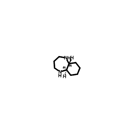 C1CN[C@@H]2CCCC[C@H]2NC1